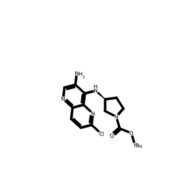 CC(C)(C)OC(=O)N1CC[C@H](Nc2c(N)cnc3ccc(Cl)nc23)C1